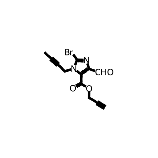 C#CCOC(=O)c1c(C=O)nc(Br)n1CC#CC